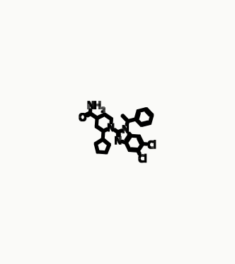 CC(c1ccccc1)n1c(N2CCC(C(N)=O)CC2C2CCCC2)nc2cc(Cl)c(Cl)cc21